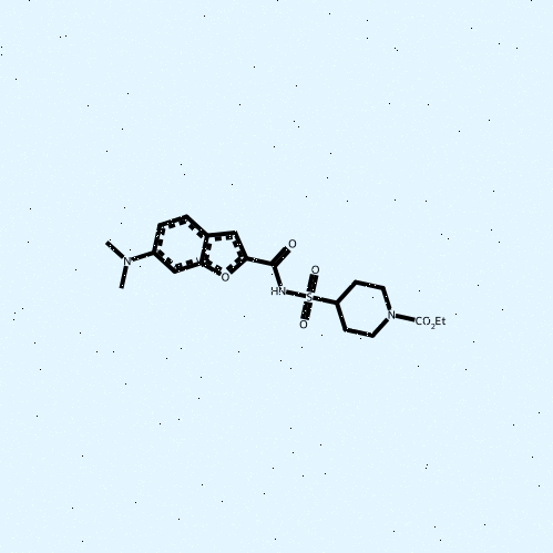 CCOC(=O)N1CCC(S(=O)(=O)NC(=O)c2cc3ccc(N(C)C)cc3o2)CC1